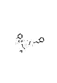 CC(C)C[C@H](NC(=O)c1cc2ccccc2s1)C(=O)NC[C@H]1OC(C)(C)OC1CNS(=O)(=O)c1ccc(Cl)cc1Cl